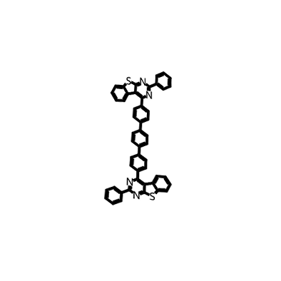 c1ccc(-c2nc(-c3ccc(-c4ccc(-c5ccc(-c6nc(-c7ccccc7)nc7sc8ccccc8c67)cc5)cc4)cc3)c3c(n2)sc2ccccc23)cc1